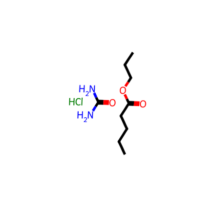 CCCCC(=O)OCCC.Cl.NC(N)=O